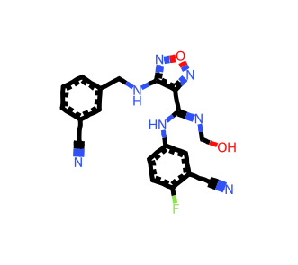 N#Cc1cccc(CNc2nonc2/C(=N/CO)Nc2ccc(F)c(C#N)c2)c1